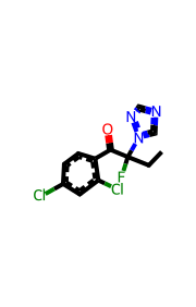 CCC(F)(C(=O)c1ccc(Cl)cc1Cl)n1cncn1